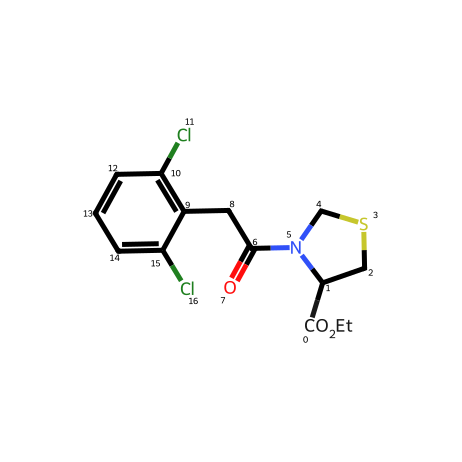 CCOC(=O)C1CSCN1C(=O)Cc1c(Cl)cccc1Cl